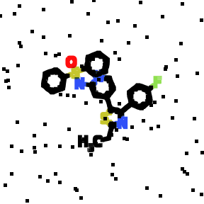 CCc1nc(-c2ccc(F)cc2)c(-c2ccnc(N=S(=O)(c3ccccc3)c3ccccc3)c2)s1